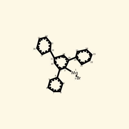 [Br][Mg][c]1c(-c2ccccc2)cc(-c2ccccc2)cc1-c1ccccc1